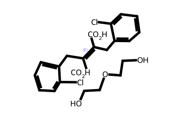 O=C(O)/C(Cc1ccccc1Cl)=C(\Cc1ccccc1Cl)C(=O)O.OCCOCCO